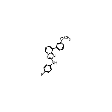 Fc1ccc(Nc2nc3c(-c4cccc(OC(F)(F)F)c4)cccn3n2)cc1